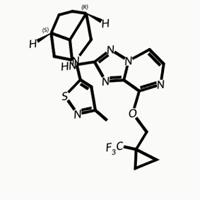 Cc1cc(N2C[C@H]3CC[C@@H](C2)C3Nc2nc3c(OCC4(C(F)(F)F)CC4)nccn3n2)sn1